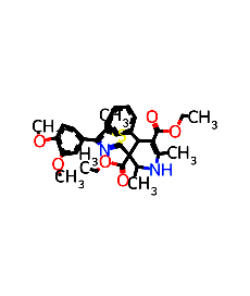 CCOC(=O)C1=C(C)NC(C)C(C(=O)OCC)(c2nc(-c3ccc(OC)c(OC)c3)c(C)s2)C1c1ccccc1